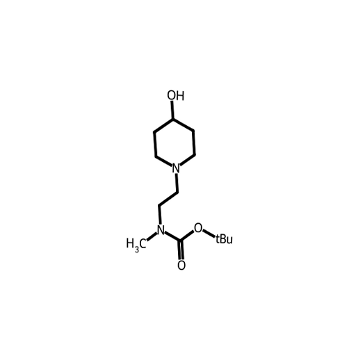 CN(CCN1CCC(O)CC1)C(=O)OC(C)(C)C